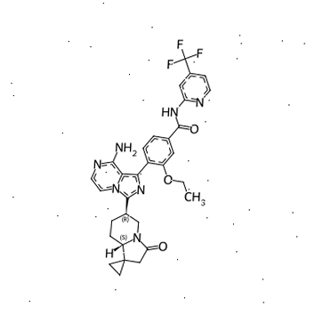 CCOc1cc(C(=O)Nc2cc(C(F)(F)F)ccn2)ccc1-c1nc([C@@H]2CC[C@@H]3N(C2)C(=O)CC32CC2)n2ccnc(N)c12